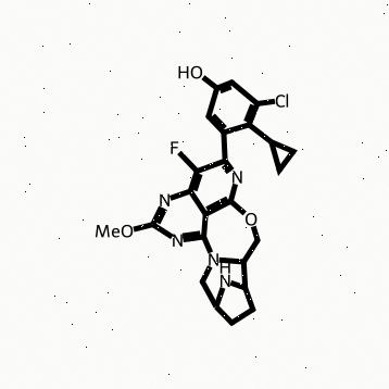 COc1nc2c3c(nc(-c4cc(O)cc(Cl)c4C4CC4)c(F)c3n1)OCC1C3CCC(CN21)N3